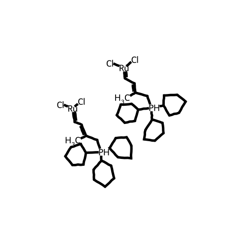 CC(=C[CH]=[Ru]([Cl])[Cl])C[PH](C1CCCCC1)(C1CCCCC1)C1CCCCC1.CC(=C[CH]=[Ru]([Cl])[Cl])C[PH](C1CCCCC1)(C1CCCCC1)C1CCCCC1